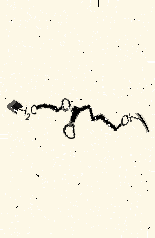 C=CCOC(=O)CCCCO